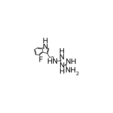 N=C(N)NC(=N)NCCc1c[nH]c2cccc(F)c12